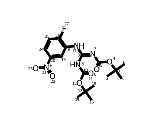 CC(C)(C)OC(=O)/N=C(\NC(=O)OC(C)(C)C)Nc1cc([N+](=O)[O-])ccc1F